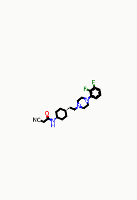 N#CCC(=O)N[C@H]1CC[C@H](CCN2CCN(c3cccc(F)c3F)CC2)CC1